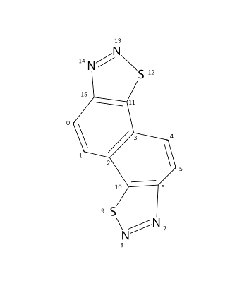 c1cc2c(ccc3nnsc32)c2snnc12